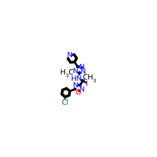 Cn1c(N[C@@](C)(I)c2noc(-c3cccc(Cl)c3)n2)nnc1-c1ccncc1